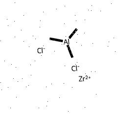 [CH3][Al]([CH3])[CH3].[Cl-].[Cl-].[Zr+2]